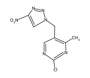 Cc1nc(Cl)ncc1Cn1cc([N+](=O)[O-])nn1